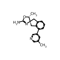 Cc1cncc(-c2cccc3c2C[C@@]2(C3)N=C(N)O[C@@H]2C)c1